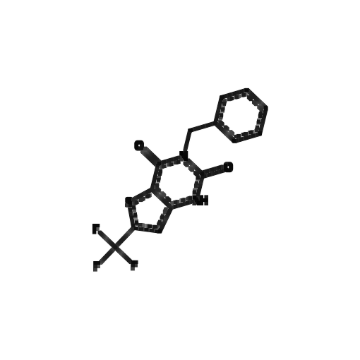 O=c1[nH]c2cc(C(F)(F)F)sc2c(=O)n1Cc1ccccc1